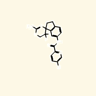 NC1=NC2(CCc3ccc(NC(=O)c4ccc(Cl)cn4)cc32)C(F)(F)CO1